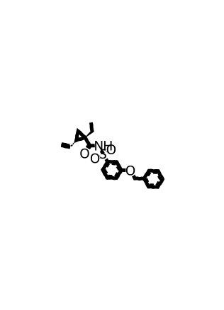 C=C[C@@H]1C[C@]1(CC)C(=O)NS(=O)(=O)c1cccc(OCc2ccccc2)c1